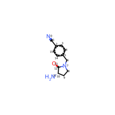 N#Cc1ccc(CN2CC[C@H](N)C2=O)cc1